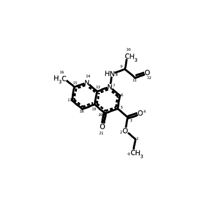 CCOC(=O)c1cn(NC(C)C=O)c2nc(C)ccc2c1=O